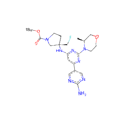 C[C@H]1COCCN1c1nc(N[C@@]2(CF)CCN(C(=O)OC(C)(C)C)C2)cc(-c2cnc(N)nc2)n1